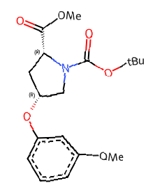 COC(=O)[C@H]1C[C@@H](Oc2cccc(OC)c2)CN1C(=O)OC(C)(C)C